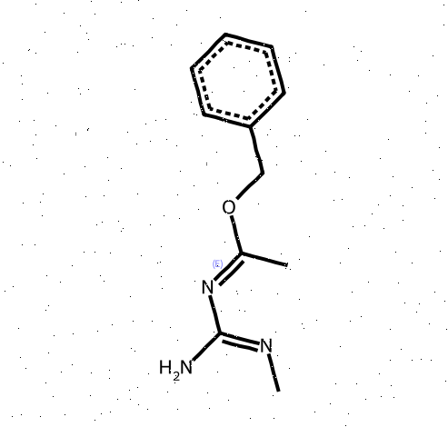 CN=C(N)/N=C(\C)OCc1ccccc1